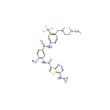 Cc1ccc(C(=O)Nc2ccc(CN3CCN(C)CC3)c(C(F)(F)F)c2)cc1NC(=O)c1csc2c(NC3CC3)ncnc12